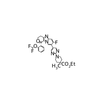 CCOC(=O)C1(C)CCN(c2ncc(-c3cn4c5c(nc4cc3F)CCO[C@H]5c3ccccc3OC(F)F)cn2)CC1